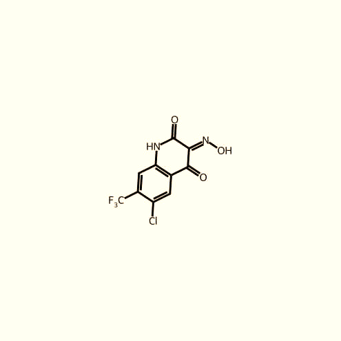 O=C1Nc2cc(C(F)(F)F)c(Cl)cc2C(=O)C1=NO